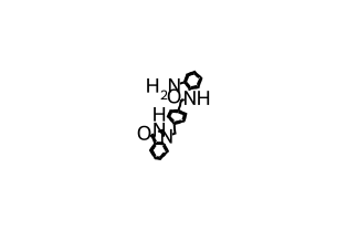 Nc1ccccc1NC(=O)c1ccc(Cn2[nH]c(=O)c3ccccc32)cc1